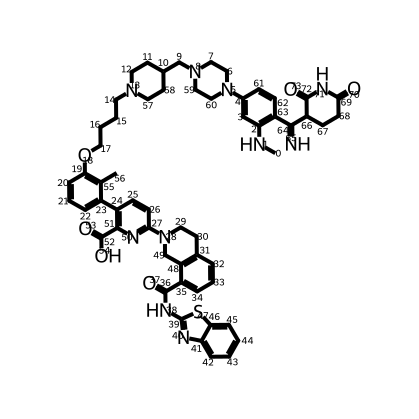 CNc1cc(N2CCN(CC3CCN(CCCCOc4cccc(-c5ccc(N6CCc7cccc(C(=O)Nc8nc9ccccc9s8)c7C6)nc5C(=O)O)c4C)CC3)CC2)ccc1C(=N)C1CCC(=O)NC1=O